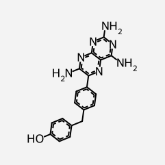 Nc1nc(N)c2nc(-c3ccc(Cc4ccc(O)cc4)cc3)c(N)nc2n1